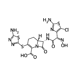 Nc1nnc(SC2=C(C(=O)O)N3C(=O)[C@@H](NC(=O)/C(=N\O)c4nc(N)sc4Cl)[C@H]3CC2)s1